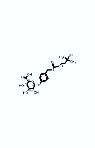 CC(C)(S)CCNC(=O)OCc1ccc(O[C@@H]2O[C@H](C(=O)O)[C@@H](O)[C@H](O)[C@H]2O)cc1